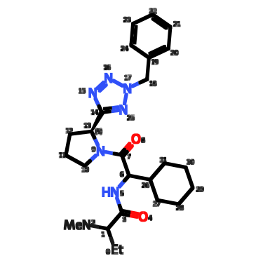 CCC(NC)C(=O)NC(C(=O)N1CCC[C@H]1c1nnn(Cc2ccccc2)n1)C1CCCCC1